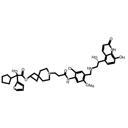 COc1cc(NC(=O)CCN2CCC3(CC2)CC(OC(=O)C(O)(c2cccs2)C2CCCC2)C3)c(Cl)cc1CNC[C@H](O)c1ccc(O)c2[nH]c(=O)ccc12